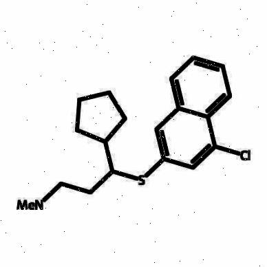 CNCCC(Sc1cc(Cl)c2ccccc2c1)C1CCCC1